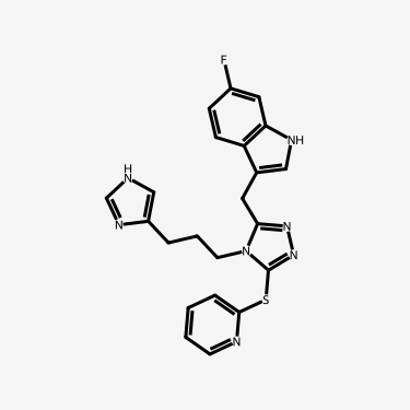 Fc1ccc2c(Cc3nnc(Sc4ccccn4)n3CCCc3c[nH]cn3)c[nH]c2c1